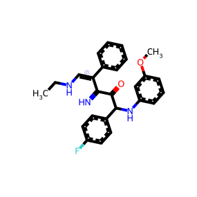 CCN/C=C(\C(=N)C(=O)C(Nc1cccc(OC)c1)c1ccc(F)cc1)c1ccccc1